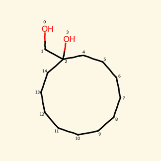 OCC1(O)CCCCCCCCCCC1